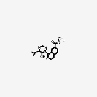 COC(=O)c1ccc2cccc(-c3ncnc(C4CC4)c3C)c2c1